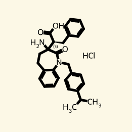 CC(C)c1ccc(CN2C(=O)C(N)([C@H](Cc3ccccc3)C(=O)O)CCc3ccccc32)cc1.Cl